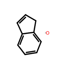 C1=Cc2ccccc2C1.[O]